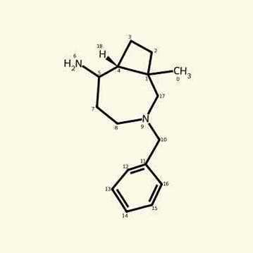 CC12CC[C@H]1C(N)CCN(Cc1ccccc1)C2